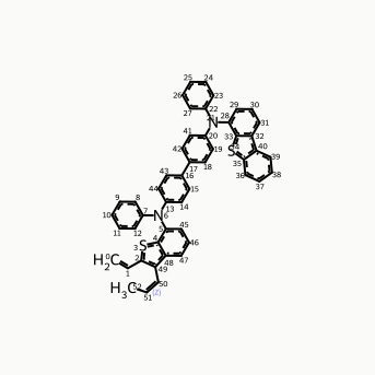 C=Cc1sc2c(N(c3ccccc3)c3ccc(-c4ccc(N(c5ccccc5)c5cccc6c5sc5ccccc56)cc4)cc3)cccc2c1/C=C\C